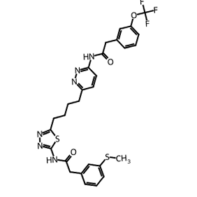 CSc1cccc(CC(=O)Nc2nnc(CCCCc3ccc(NC(=O)Cc4cccc(OC(F)(F)F)c4)nn3)s2)c1